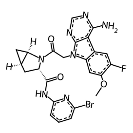 COc1cc2c(cc1F)c1c(N)ncnc1n2CC(=O)N1[C@@H]2C[C@@H]2C[C@H]1C(=O)Nc1cccc(Br)n1